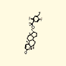 C[C@]12C=CC(=O)NC1CCC1C2CC[C@@]2(C)C1CC[C@@H]2COC(=O)c1cc(F)c(F)cc1F